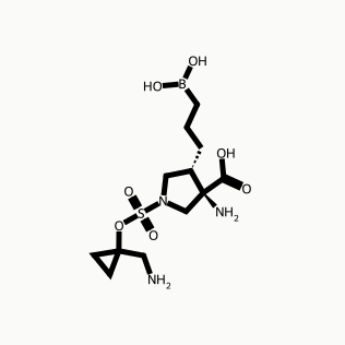 NCC1(OS(=O)(=O)N2C[C@H](CCCB(O)O)[C@](N)(C(=O)O)C2)CC1